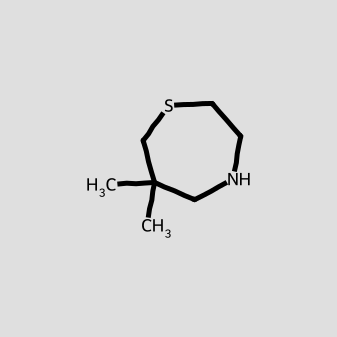 CC1(C)CNCCSC1